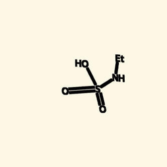 CCNS(=O)(=O)O